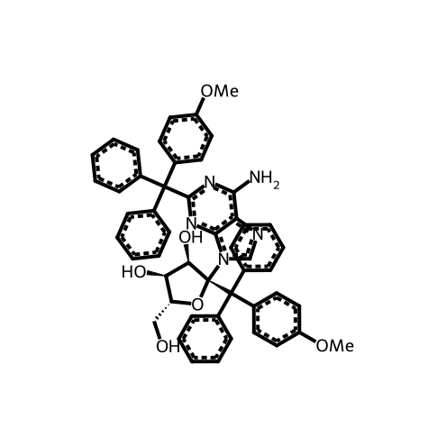 COc1ccc(C(c2ccccc2)(c2ccccc2)c2nc(N)c3ncn([C@]4(C(c5ccccc5)(c5ccccc5)c5ccc(OC)cc5)O[C@H](CO)[C@@H](O)[C@H]4O)c3n2)cc1